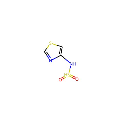 O=[SH](=O)Nc1cscn1